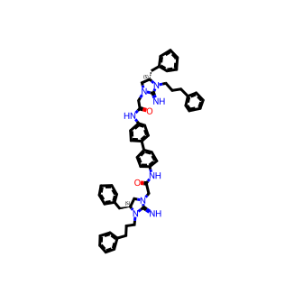 N=C1N(CC(=O)Nc2ccc(-c3ccc(NC(=O)CN4C[C@H](Cc5ccccc5)N(CCCc5ccccc5)C4=N)cc3)cc2)C[C@H](Cc2ccccc2)N1CCCc1ccccc1